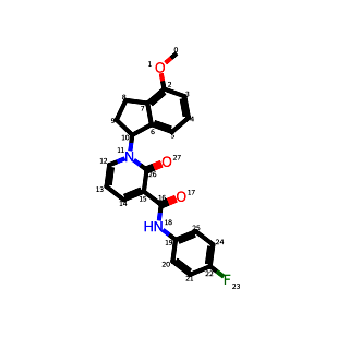 COc1cccc2c1CCC2n1cccc(C(=O)Nc2ccc(F)cc2)c1=O